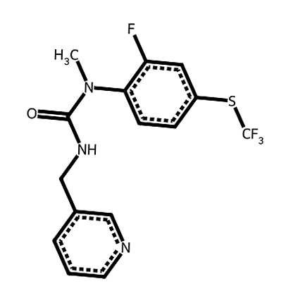 CN(C(=O)NCc1cccnc1)c1ccc(SC(F)(F)F)cc1F